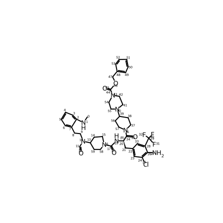 CNc1ccccc1CCN(C=O)C1CCN(C(=O)N[C@H](Cc2cc(Cl)c(N)c(C(F)(F)F)c2)C(=O)N2CCC(N3CCN(C(=O)OCc4ccccc4)CC3)CC2)CC1